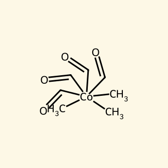 [CH3][Co]([CH3])([CH3])([CH]=O)([CH]=O)([CH]=O)[CH]=O